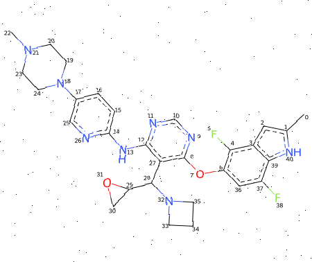 Cc1cc2c(F)c(Oc3ncnc(Nc4ccc(N5CCN(C)CC5)cn4)c3C(C3CO3)N3CCC3)cc(F)c2[nH]1